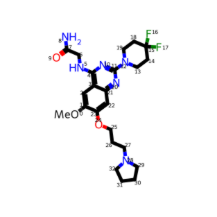 COc1cc2c(NCC(N)=O)nc(N3CCC(F)(F)CC3)nc2cc1OCCCN1CCCC1